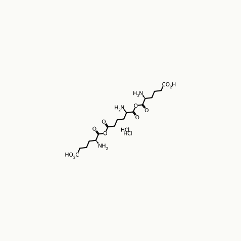 Cl.Cl.NC(CCCC(=O)OC(=O)[C@@H](N)CCCC(=O)O)C(=O)OC(=O)[C@@H](N)CCCC(=O)O